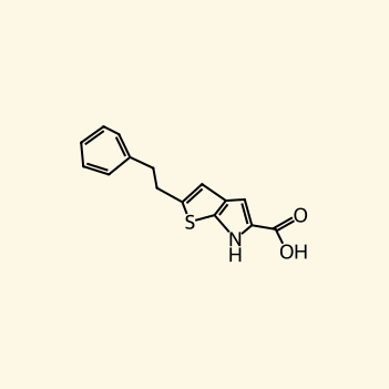 O=C(O)c1cc2cc(CCc3ccccc3)sc2[nH]1